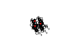 Cc1ccc(C(O)(c2ccc3nc(Cl)c(CC(F)(F)F)c(Cl)c3c2)c2cnnn2C)c(C)n1.Cc1ccc(C(O)(c2ccc3nc(N4CCC4)c(CC(F)(F)F)c(Cl)c3c2)c2cnnn2C)c(C)n1